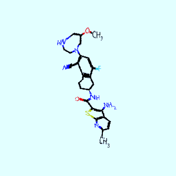 COC1CNCCN(c2cc(F)c3c(c2C#N)CC[C@H](NC(=O)c2sc4nc(C)ccc4c2N)C3)C1